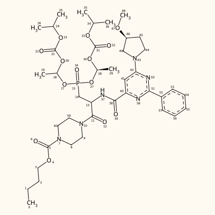 CCCCOC(=O)N1CCN(C(=O)C(CP(=O)(OC(C)OC(=O)OC(C)C)O[C@H](C)OC(=O)OC(C)C)NC(=O)c2cc(N3CC[C@H](OC)C3)nc(-c3ccccc3)n2)CC1